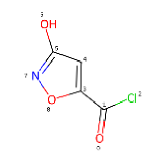 O=C(Cl)c1cc(O)no1